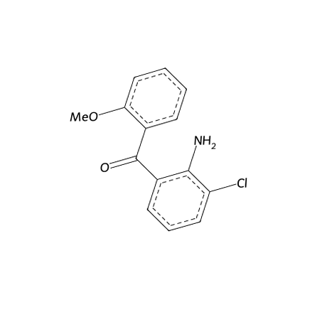 COc1ccccc1C(=O)c1cccc(Cl)c1N